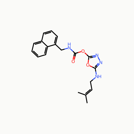 CC(C)=CCNc1nnc(OC(=O)NCc2cccc3ccccc23)o1